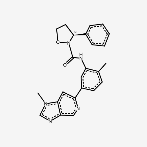 Cc1ccc(-c2cc3c(cn2)ncn3C)cc1NC(=O)N1OCC[C@H]1c1ccccc1